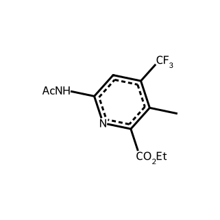 CCOC(=O)c1nc(NC(C)=O)cc(C(F)(F)F)c1C